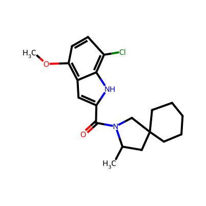 COc1ccc(Cl)c2[nH]c(C(=O)N3CC4(CCCCC4)CC3C)cc12